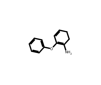 NC1=C(Oc2ccccc2)C=C[CH]C1